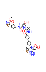 CCOC(=O)c1ncsc1-c1ccc(CNC(=O)[C@@H]2C[C@@H](O)CN2C(=O)[C@@H](NC(=O)c2ccc(-c3ccc(C4=N[C@@H](CC(=O)OC)c5nnc(C)n5-c5sc(C)c(C)c54)cc3)cc2)C(C)(C)C)cc1